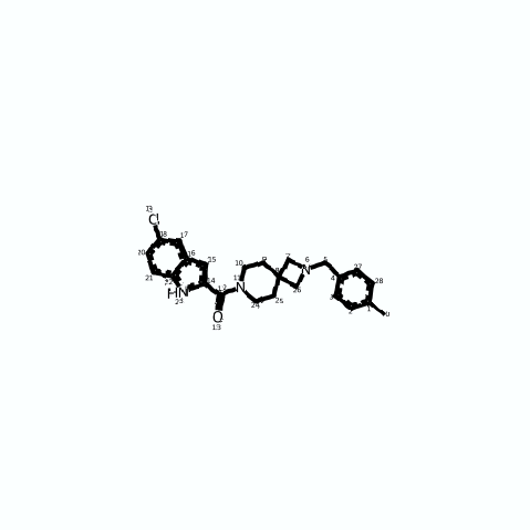 Cc1ccc(CN2CC3(CCN(C(=O)c4cc5cc(Cl)ccc5[nH]4)CC3)C2)cc1